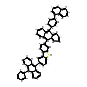 c1ccc(-c2c3ccccc3c(-c3ccc4sc5cc(-c6c7ccccc7c(-c7ccc(-c8cccc9ccccc89)cc7)c7ccccc67)ccc5c4c3)c3ccccc23)cc1